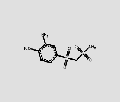 Nc1cc(S(=O)(=O)CS(N)(=O)=O)ccc1C(F)(F)F